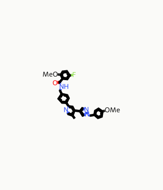 COc1ccc(Cn2cc(-c3cc(-c4ccc(CNC(=O)c5cc(F)ccc5OC)cc4)ncc3C)cn2)cc1